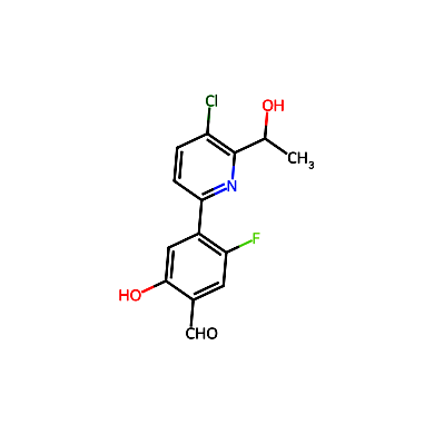 CC(O)c1nc(-c2cc(O)c(C=O)cc2F)ccc1Cl